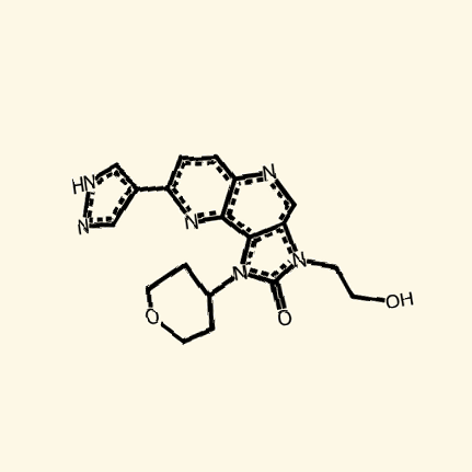 O=c1n(CCO)c2cnc3ccc(-c4cn[nH]c4)nc3c2n1C1CCOCC1